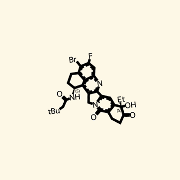 CC[C@@]1(O)C(=O)CCc2c1cc1n(c2=O)Cc2c-1nc1cc(F)c(Br)c3c1c2[C@@H](NC(=O)CC(C)(C)C)CC3